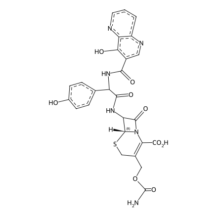 NC(=O)OCC1=C(C(=O)O)N2C(=O)C(NC(=O)C(NC(=O)c3cnc4cccnc4c3O)c3ccc(O)cc3)[C@H]2SC1